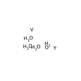 O.O.O.O.[V].[Y]